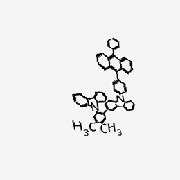 Cc1cc(-c2ccc3c(c2)c2ccccc2n3-c2ccc(-c3c4ccccc4c(-c4ccccc4)c4ccccc34)cc2)c(-n2c3ccccc3c3ccccc32)cc1C